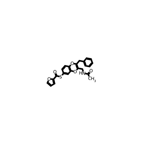 CC(=O)NCC1=C(Cc2ccccc2)Oc2ccc(SC(=O)c3ccco3)cc2O1